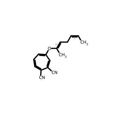 C/C=C\C/C=C(\C)OC1=CC=C=C(C#N)C(C#N)=C1